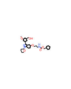 COc1cc(CO)cc(-c2nn(C3CCCCO3)c3ccc(OCCCNC(=O)OCc4ccccc4)cc23)c1